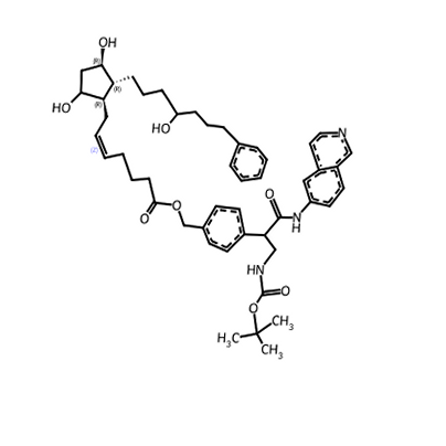 CC(C)(C)OC(=O)NCC(C(=O)Nc1ccc2cnccc2c1)c1ccc(COC(=O)CCC/C=C\C[C@H]2C(O)C[C@@H](O)[C@@H]2CCCC(O)CCCc2ccccc2)cc1